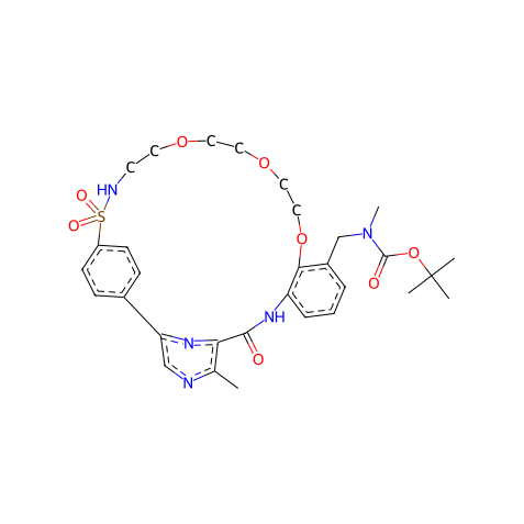 Cc1ncc2nc1C(=O)Nc1cccc(CN(C)C(=O)OC(C)(C)C)c1OCCOCCOCCNS(=O)(=O)c1ccc-2cc1